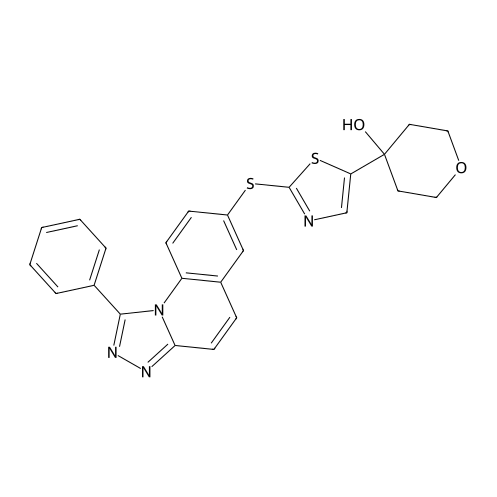 OC1(c2cnc(Sc3ccc4c(ccc5nnc(-c6ccccc6)n54)c3)s2)CCOCC1